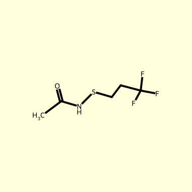 CC(=O)NSCCC(F)(F)F